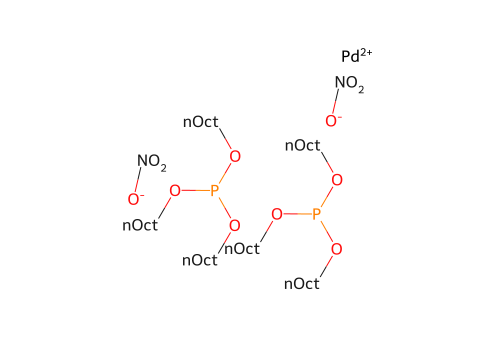 CCCCCCCCOP(OCCCCCCCC)OCCCCCCCC.CCCCCCCCOP(OCCCCCCCC)OCCCCCCCC.O=[N+]([O-])[O-].O=[N+]([O-])[O-].[Pd+2]